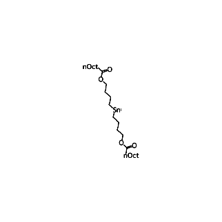 CCCCCCCCC(=O)OCCC[CH2][Sn][CH2]CCCOC(=O)CCCCCCCC